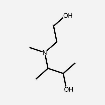 CC(O)C(C)N(C)CCO